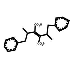 CC(Cc1ccccc1)C(C(=O)O)=C(C(=O)O)C(C)Cc1ccccc1